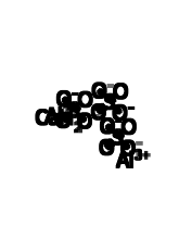 O=S(=O)([O-])[O-].O=S(=O)([O-])[O-].O=S(=O)([O-])[O-].[Al+3].[Al+3].[CaH2]